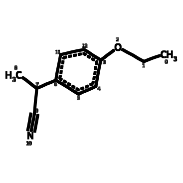 CCOc1ccc(C(C)C#N)cc1